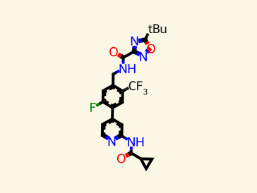 CC(C)(C)c1nc(C(=O)NCc2cc(F)c(-c3ccnc(NC(=O)C4CC4)c3)cc2C(F)(F)F)no1